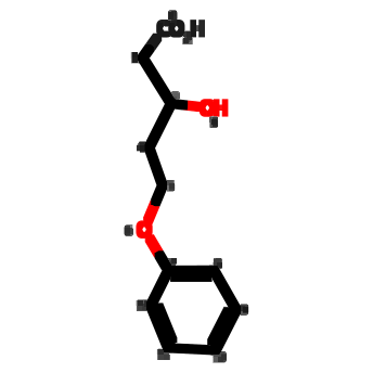 O=C(O)CC(O)CCOc1ccccc1